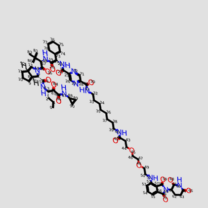 CCC[C@H](NC(=O)[C@@H]1[C@H]2CCC[C@H]2CN1C(=O)[C@@H](NC(=O)[C@@H](NC(=O)c1cnc(C(=O)NCCCCCCCCNC(=O)CCOCCOCCNc2cccc3c2C(=O)N(C2CCC(=O)NC2=O)C3=O)cn1)C1CCCCC1)C(C)(C)C)C(=O)C(=O)NC1CC1